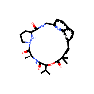 CC(C)C1OC(=O)C(C)(C)/C=C/c2ccc3ccc(nc3c2)CNC(=O)[C@@H]2CCCN(N2)C(=O)[C@H](C)NC1=O